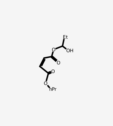 CCCOC(=O)/C=C\C(=O)OC(O)CC